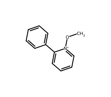 CO[n+]1ccccc1-c1ccccc1